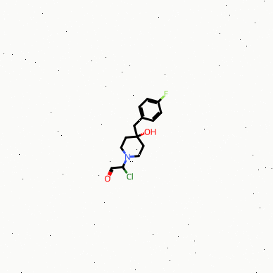 O=CC(Cl)N1CCC(O)(Cc2ccc(F)cc2)CC1